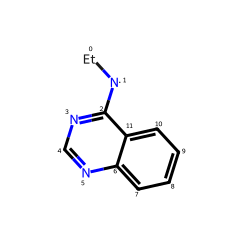 CC[N]c1ncnc2ccccc12